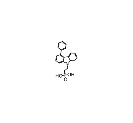 O=P(O)(O)CCn1c2ccccc2c2c(-c3ccccc3)cccc21